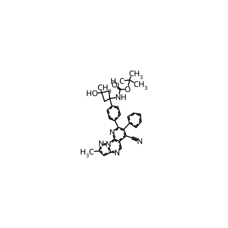 Cc1cc2ncc3c(C#N)c(-c4ccccc4)c(-c4ccc(C5(NC(=O)OC(C)(C)C)CC(C)(O)C5)cc4)nc3n2n1